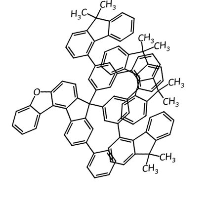 CC1(C)c2ccccc2-c2c(-c3cc(-c4cccc5c4-c4ccccc4C5(C)C)cc(C4(c5cc(-c6cccc7c6-c6ccccc6C7(C)C)cc(-c6cccc7c6-c6ccccc6C7(C)C)c5)c5cc(-c6ccccc6)ccc5-c5c4ccc4oc6ccccc6c54)c3)cccc21